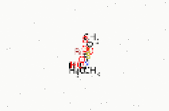 COc1cccc(S(=O)(=O)c2sc(CN(CC(C)(C)C)C(=O)O)cc2Br)c1